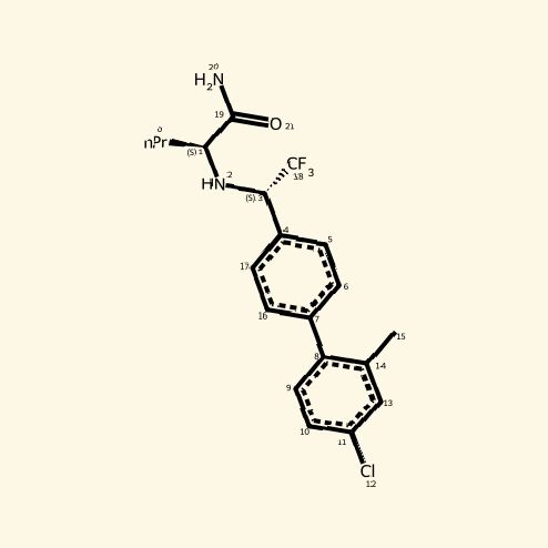 CCC[C@H](N[C@@H](c1ccc(-c2ccc(Cl)cc2C)cc1)C(F)(F)F)C(N)=O